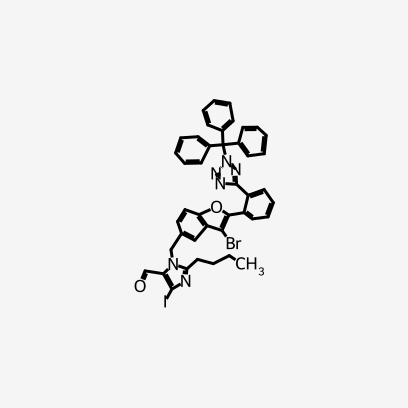 CCCCc1nc(I)c(C=O)n1Cc1ccc2oc(-c3ccccc3-c3nnn(C(c4ccccc4)(c4ccccc4)c4ccccc4)n3)c(Br)c2c1